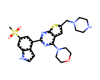 CS(=O)(=O)c1cc(-c2nc(N3CCOCC3)c3cc(CN4CCNCC4)sc3n2)c2cc[nH]c2c1